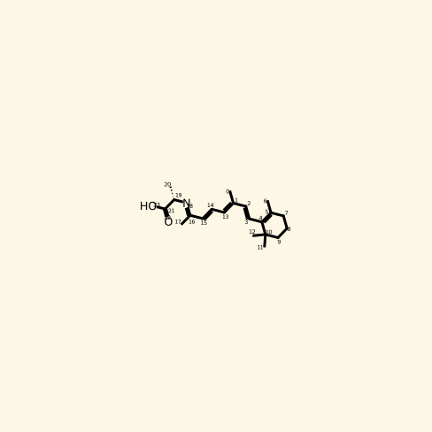 CC(C=CC1=C(C)CCCC1(C)C)=CC=CC(C)=N[C@@H](C)C(=O)O